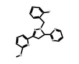 COc1cccc(C2=NN(Cc3ccccc3F)C(c3ncccn3)C2)n1